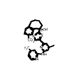 Cc1cc(Nc2cc(C(F)(F)F)ccn2)nc(-c2cnc([C@@]3(O)CCCCc4ccc(C(=O)O)cc43)s2)c1